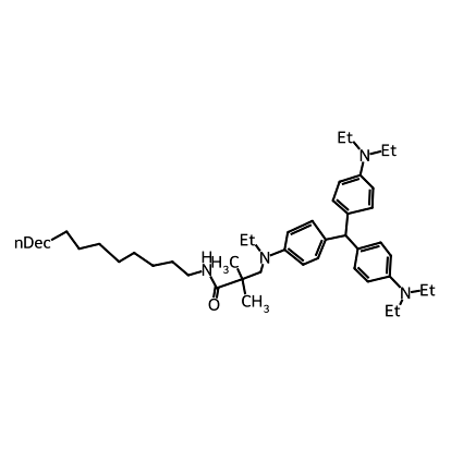 CCCCCCCCCCCCCCCCCCNC(=O)C(C)(C)CN(CC)c1ccc(C(c2ccc(N(CC)CC)cc2)c2ccc(N(CC)CC)cc2)cc1